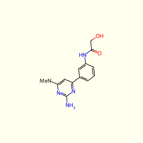 CNc1cc(-c2cccc(NC(=O)CO)c2)nc(N)n1